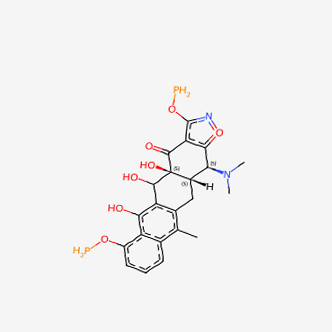 Cc1c2c(c(O)c3c(OP)cccc13)C(O)[C@]1(O)C(=O)c3c(OP)noc3[C@@H](N(C)C)[C@@H]1C2